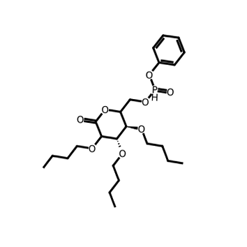 CCCCOC1C(=O)OC(CO[PH](=O)Oc2ccccc2)[C@@H](OCCCC)[C@@H]1OCCCC